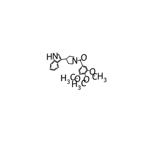 COc1cc(C(=O)N2CCC(c3c[nH]c4ccccc34)CC2)cc(OC)c1OC